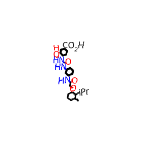 CC(C)C1C(C)CCCC1OCC(=O)Nc1cccc(NC(=O)Nc2ccc(C(=O)O)cc2O)c1